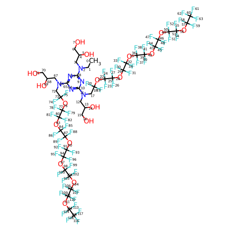 CCN(CC(O)CO)c1nc(N(CC(O)CO)CC(F)(F)OC(F)(F)C(F)(F)OC(F)(F)C(F)(F)OC(F)(F)C(F)(F)OC(F)(F)C(F)(F)OC(F)(F)C(F)(F)OC(F)(F)C(F)(F)F)nc(N(CC(O)CO)CC(F)(F)OC(F)(F)C(F)(F)OC(F)(F)C(F)(F)OC(F)(F)C(F)(F)OC(F)(F)C(F)(F)OC(F)(F)C(F)(F)OC(F)(F)C(F)(F)F)n1